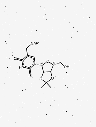 CNCc1cn([C@@H]2O[C@H](CO)C3OC(C)(C)OC32)c(=S)[nH]c1=O